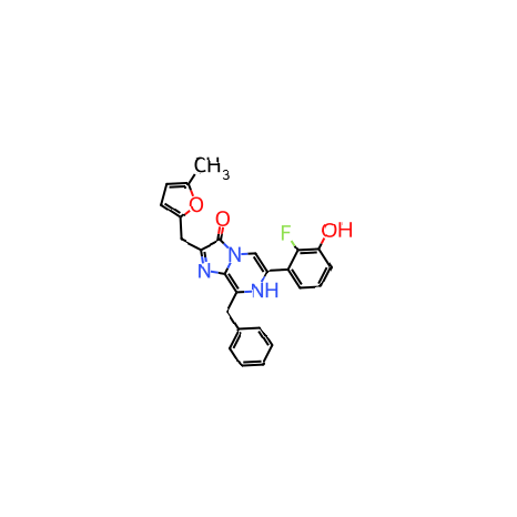 Cc1ccc(Cc2nc3c(Cc4ccccc4)[nH]c(-c4cccc(O)c4F)cn-3c2=O)o1